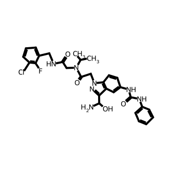 CC(C)N(CC(=O)NCc1cccc(Cl)c1F)C(=O)Cn1nc(C(N)O)c2cc(NC(=O)Nc3ccccc3)ccc21